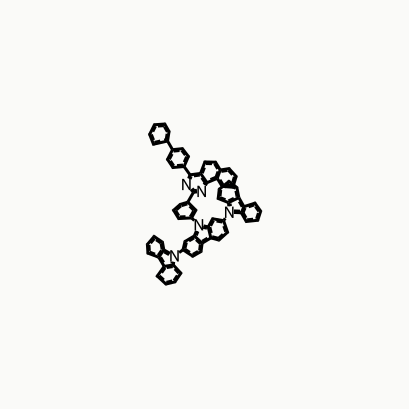 c1ccc(-c2ccc(-c3nc(-c4cccc(-n5c6cc(-n7c8ccccc8c8ccccc87)ccc6c6ccc(-n7c8ccccc8c8ccccc87)cc65)c4)nc4c3ccc3ccccc34)cc2)cc1